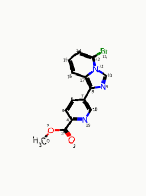 COC(=O)c1ccc(-c2ncn3c(Br)cccc23)cn1